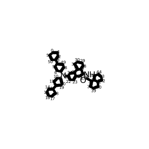 c1ccc(-c2ccc(N(c3ccc(-c4ccccc4)cc3)c3ccc4c5c(c6ccccc6c4c3)NC(c3cccc4ccccc34)O5)cc2)cc1